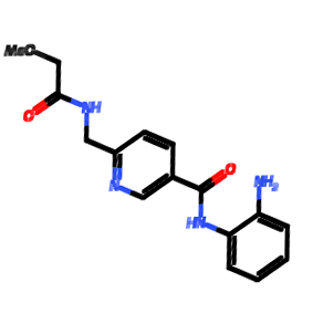 COCC(=O)NCc1ccc(C(=O)Nc2ccccc2N)cn1